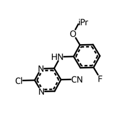 CC(C)Oc1ccc(F)cc1Nc1nc(Cl)ncc1C#N